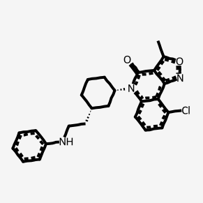 Cc1onc2c1c(=O)n([C@H]1CCC[C@@H](CCNc3ccccc3)C1)c1cccc(Cl)c21